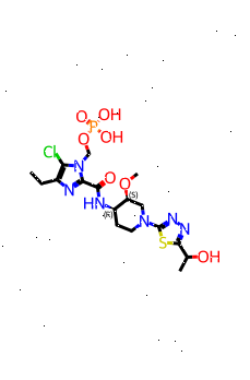 CCc1nc(C(=O)N[C@@H]2CCN(c3nnc(C(C)O)s3)C[C@@H]2OC)n(COP(=O)(O)O)c1Cl